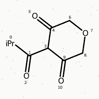 CC(C)C(=O)C1C(=O)COCC1=O